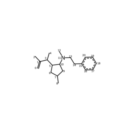 C=C(C)C(C)C1CC(C)CC1N(C)CCc1ccccc1